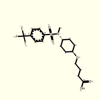 CN([C@H]1CC[C@H](OCCCC(=O)O)CC1)S(=O)(=O)c1ccc(C(F)(F)F)cc1